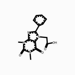 Cn1c(=O)c2c(nc(-c3ccccc3)n2CC(=O)O)n(C)c1=O